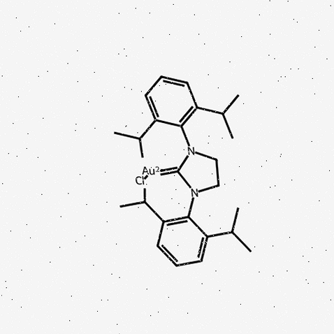 CC(C)c1cccc(C(C)C)c1N1CCN(c2c(C(C)C)cccc2C(C)C)[C]1=[Au-2][Cl]